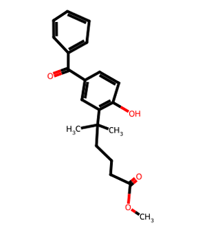 COC(=O)CCCC(C)(C)c1cc(C(=O)c2ccccc2)ccc1O